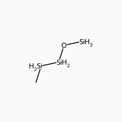 C[SiH2][SiH2]O[SiH3]